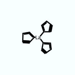 C1=CC#C[C]=1[La]([C]1=C=CC#C1)[C]1=C=CC#C1